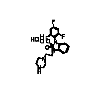 Cl.Cl.O=S1(=O)N(CCN2CCNCC2)c2ccccc2N1c1c(F)cc(F)cc1F